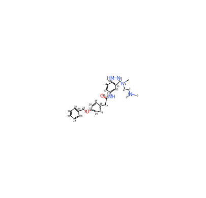 CN(C)CCN(C)c1n[nH]c2ccc(NC(=O)Cc3ccc(OCc4ccccc4)cc3)cc12